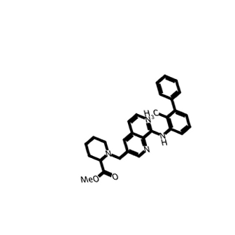 COC(=O)C1CCCCN1Cc1cnc2c(Nc3cccc(-c4ccccc4)c3C)nccc2c1